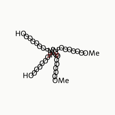 COCCOCCOCCOCCOCCOCCOc1ccc2c(c1)c1cc(OCCOCCOCCOCCOCCOCCOC)ccc1n2-c1cccc(-n2c3ccc(COCCOCCOCCOCCOCCOCCO)cc3c3cc(COCCOCCOCCOCCOCCOCCO)ccc32)c1-c1cc(-c2ccccc2)nc(-c2ccccc2)n1